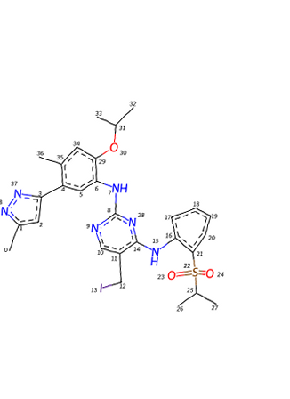 Cc1cc(-c2cc(Nc3ncc(CI)c(Nc4ccccc4S(=O)(=O)C(C)C)n3)c(OC(C)C)cc2C)n[nH]1